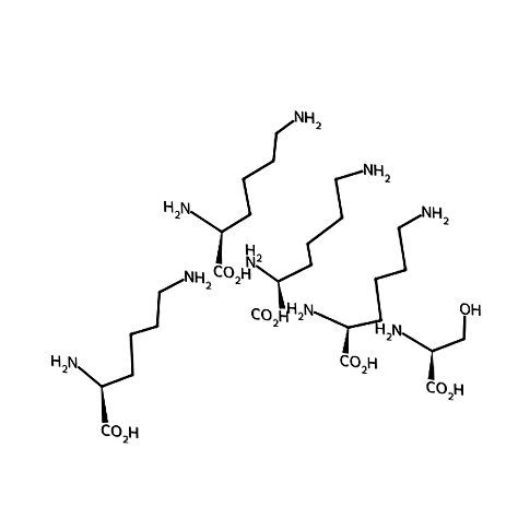 NCCCC[C@H](N)C(=O)O.NCCCC[C@H](N)C(=O)O.NCCCC[C@H](N)C(=O)O.NCCCC[C@H](N)C(=O)O.N[C@@H](CO)C(=O)O